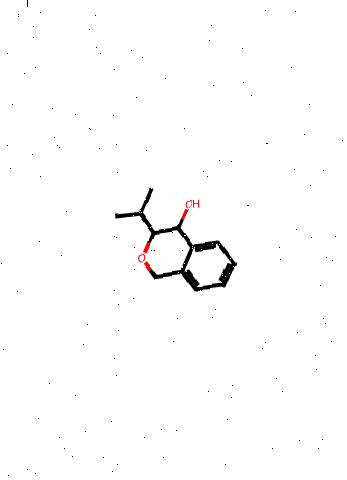 CC(C)C1OCc2ccccc2C1O